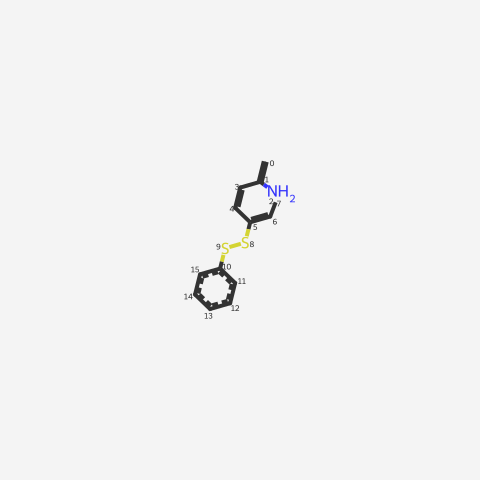 C=C(N)/C=C\C(=C/C)SSc1ccccc1